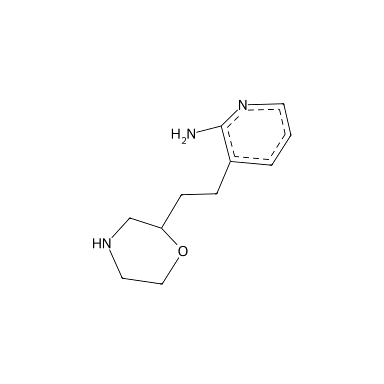 Nc1ncccc1CCC1CNCCO1